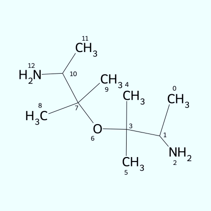 CC(N)C(C)(C)OC(C)(C)C(C)N